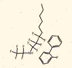 CCCCCCC(F)(F)C(F)(F)C(F)(F)NC(F)(F)C(F)(F)F.Fc1ccccc1-c1ccccc1